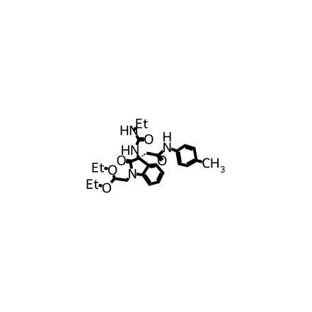 CCNC(=O)N[C@]1(CC(=O)Nc2ccc(C)cc2)C(=O)N(CC(OCC)OCC)c2ccccc21